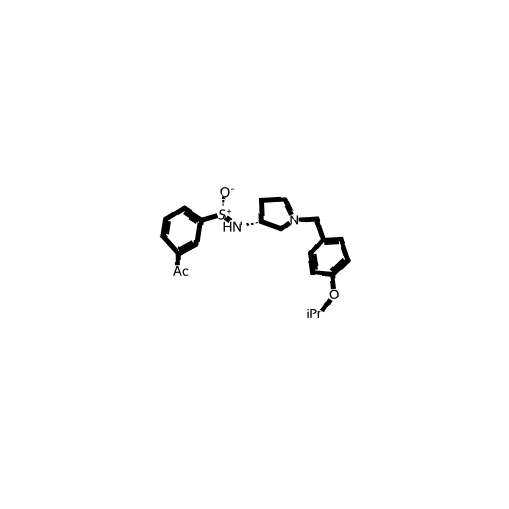 CC(=O)c1cccc([S@+]([O-])N[C@@H]2CCN(Cc3ccc(OC(C)C)cc3)C2)c1